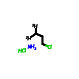 Cl.N.[2H]C([2H])CCCl